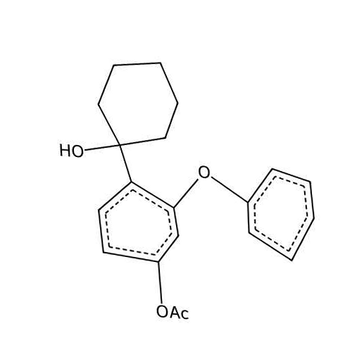 CC(=O)Oc1ccc(C2(O)CCCCC2)c(Oc2ccccc2)c1